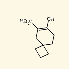 O=C(O)C1=C(O)CCC2(CCC2)C1